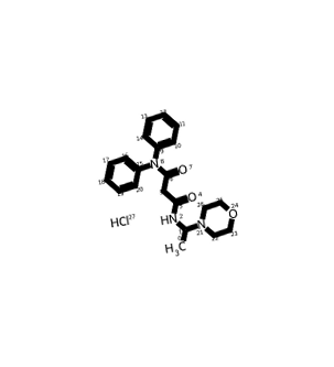 CC(NC(=O)CC(=O)N(c1ccccc1)c1ccccc1)N1CCOCC1.Cl